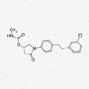 CNC(=O)OC1CC(=O)N(c2ccc(CCc3cccc(Cl)c3)cc2)C1